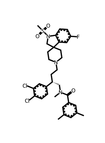 Cc1cc(C)cc(C(=O)N(C)C[C@@H](CCN2CCC3(CC2)CN(S(C)(=O)=O)c2ccc(F)cc23)c2ccc(Cl)c(Cl)c2)c1